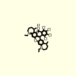 CCN1CCCC(C)c2cc3c(cc21)Oc1cc2c(cc1=C3c1c(Cl)c(Cl)c(Cl)c(Cl)c1C(=O)O)C(C)CCC[N+]=2CC